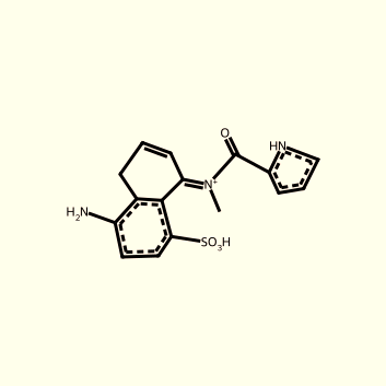 C[N+](C(=O)c1ccc[nH]1)=C1C=CCc2c(N)ccc(S(=O)(=O)O)c21